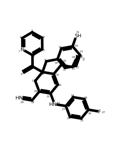 C=C(c1ccccn1)C1(Cc2cccc(S)c2)CC(C=N)=C(Nc2ccc(F)cc2)C=C1CCN